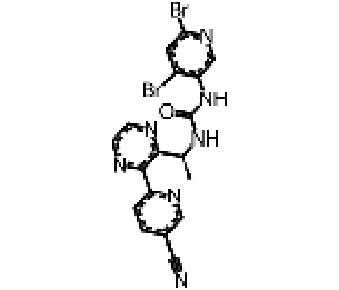 C[C@H](NC(=O)Nc1cnc(Br)cc1Br)c1nccnc1-c1ccc(C#N)cn1